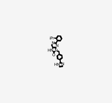 CC(C)c1ccccc1-c1ncc2[nH]c(=O)n(Cc3ccc(-c4ncc[nH]4)cc3)c2n1